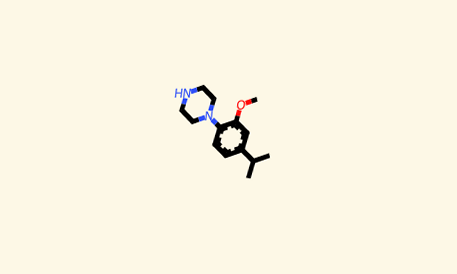 COc1cc(C(C)C)ccc1N1CCNCC1